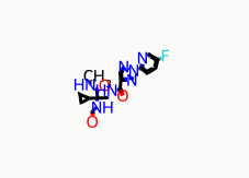 CNC(=O)C(CNC(=O)c1cnn(-c2ccc(F)cn2)n1)(NC=O)C1CC1